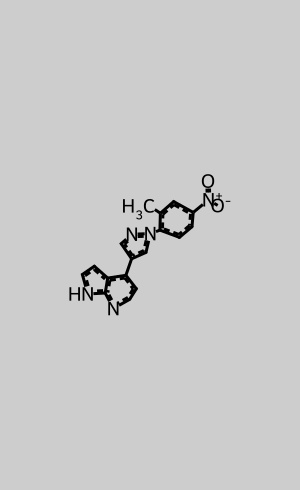 Cc1cc([N+](=O)[O-])ccc1-n1cc(-c2ccnc3[nH]ccc23)cn1